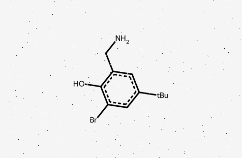 CC(C)(C)c1cc(Br)c(O)c(CN)c1